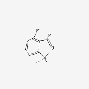 C[Si](C)(C)c1cccc(Br)c1C(=O)Cl